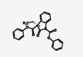 CC[C@@]1(C(=O)Oc2ccccc2)C(=O)N(C(=O)Oc2ccccc2)c2ccccc21